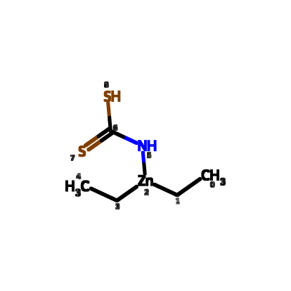 C[CH2][Zn]([CH2]C)[NH]C(=S)S